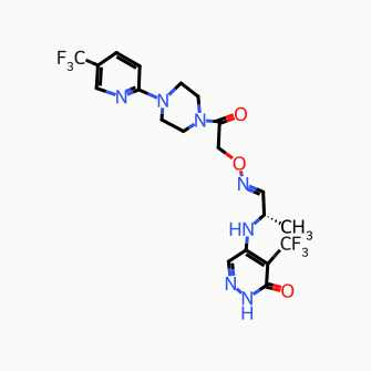 C[C@@H](/C=N/OCC(=O)N1CCN(c2ccc(C(F)(F)F)cn2)CC1)Nc1cn[nH]c(=O)c1C(F)(F)F